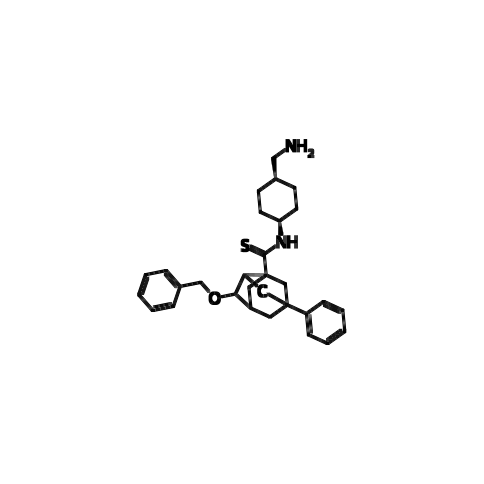 NC[C@H]1CC[C@@H](NC(=S)C23CC4CC(c5ccccc5)(CC2C4OCc2ccccc2)C3)CC1